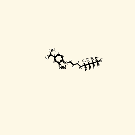 O=C(O)c1ccc2c(c1)nnn2CCCCC(F)(F)C(F)(F)C(F)(F)C(F)(F)F